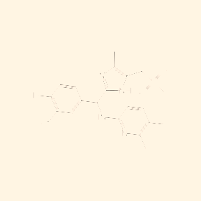 Cc1nc(NC(c2ccc(F)c(Cl)c2)c2nc(C)c(CS(C)(=O)=O)[nH]2)ccc1F